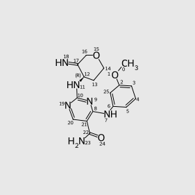 COc1cccc(Nc2nc(N[C@@H]3CCOCC3=N)ncc2C(N)=O)c1